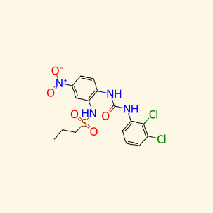 CCCS(=O)(=O)Nc1cc([N+](=O)[O-])ccc1NC(=O)Nc1cccc(Cl)c1Cl